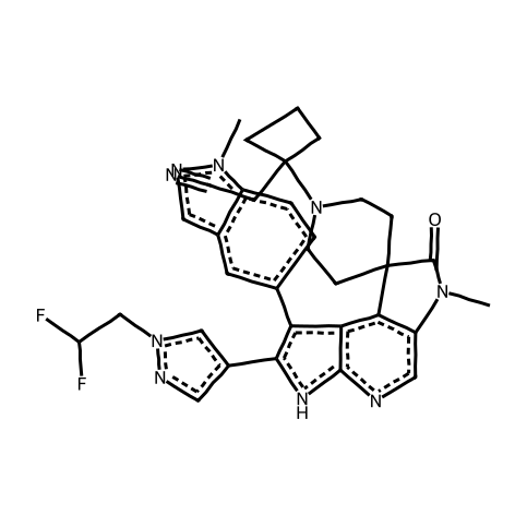 CN1C(=O)C2(CCN(C3(CC#N)CCC3)CC2)c2c1cnc1[nH]c(-c3cnn(CC(F)F)c3)c(-c3ccc4c(cnn4C)c3)c21